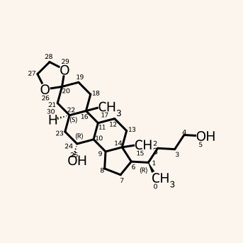 C[C@H](CCCO)C1CCC2C3C(CCC21C)C1(C)CCC2(C[C@@H]1C[C@H]3O)OCCO2